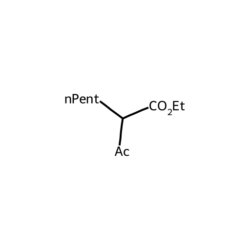 CCCCCC(C(C)=O)C(=O)OCC